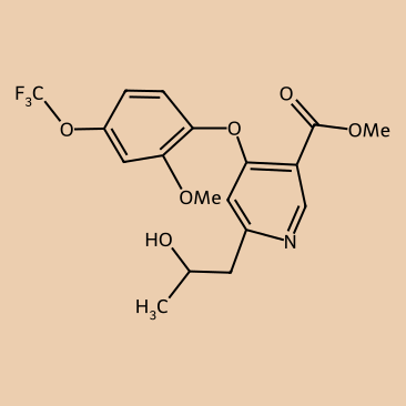 COC(=O)c1cnc(CC(C)O)cc1Oc1ccc(OC(F)(F)F)cc1OC